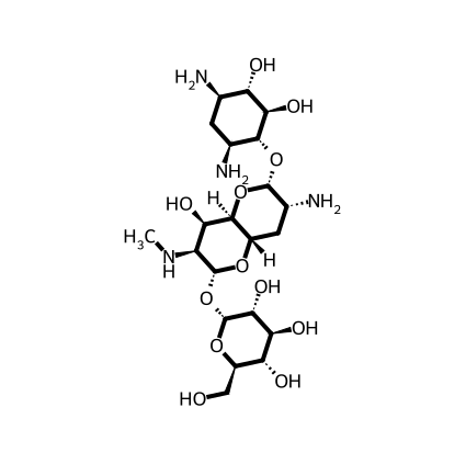 CN[C@@H]1[C@@H](O[C@H]2O[C@H](CO)[C@@H](O)[C@H](O)[C@H]2O)O[C@H]2C[C@@H](N)[C@@H](O[C@H]3[C@H](O)[C@@H](O)[C@H](N)C[C@@H]3N)O[C@@H]2[C@@H]1O